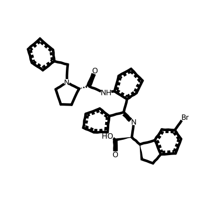 O=C(O)[C@@H](/N=C(\c1ccccc1)c1ccccc1NC(=O)[C@@H]1CCCN1Cc1ccccc1)[C@@H]1CCc2ccc(Br)cc21